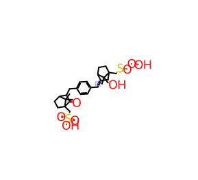 CC1(C)C2CCC1(CS(=O)(=O)O)C(=O)C2Cc1ccc(/C=C2\C3CCC(CSOOO)(C2O)C3(C)C)cc1